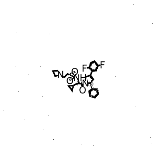 O=C([C@@H](NS(=O)(=O)CCN1CCC1)C1CC1)N1CC(c2cc(F)ccc2F)=C[C@H]1c1ccccc1